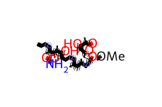 C=C/C=C\[C@H](C)[C@H](OC(N)=O)[C@@H](C)[C@H](O)[C@@H](C)C/C=C\[C@H](C)[C@@H](C)[C@@H](C)/C=C\[C@H](C[C@@H]1OC(=O)[C@H](C)[C@@H](O)[C@H]1C)OCOC